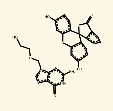 Nc1nc2c(ncn2COCCO)c(=O)[nH]1.O=C1OC2(c3ccc(O)cc3Oc3cc(O)ccc32)c2ccccc21